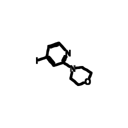 Ic1ccnc(N2CCOCC2)c1